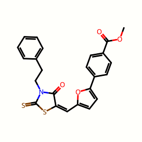 COC(=O)c1ccc(-c2ccc(C=C3SC(=S)N(CCc4ccccc4)C3=O)o2)cc1